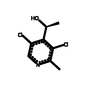 Cc1ncc(Cl)c([C@H](C)O)c1Cl